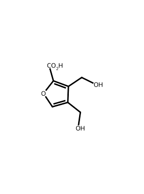 O=C(O)c1occ(CO)c1CO